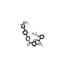 COc1ccccc1C(=O)Nc1cc(C(=O)N2CCC(c3ccc(-c4cnn(C)c4)cc3)CC2)ccc1C